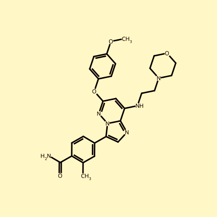 COc1ccc(Oc2cc(NCCN3CCOCC3)c3ncc(-c4ccc(C(N)=O)c(C)c4)n3n2)cc1